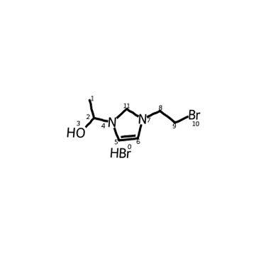 Br.CC(O)N1C=CN(CCBr)C1